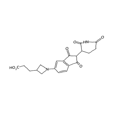 O=C(O)CCC1CN(c2ccc3c(c2)C(=O)C(C2CCC(=O)NC2=O)C3=O)C1